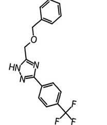 FC(F)(F)c1ccc(-c2n[nH]c(COCc3ccccc3)n2)cc1